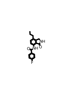 CCCc1ccc(NC(=O)c2ccc(F)cc2)c2c1CNC2=O